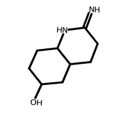 N=C1CCC2CC(O)CCC2N1